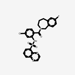 O=C(c1ccc(Cl)cc1NS(=O)(=O)c1cccc2nccnc12)N1CCCc2cc(F)ccc2C1